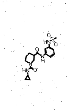 CS(=O)(=O)Nc1cccc(NC(=O)C2CCCN(C(=O)NC3CC3)C2)c1